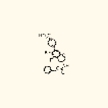 O=C(NC1COc2cc(N3CCN(C(=O)O)CC3)c(Br)c(F)c2C1)OCc1ccccc1